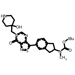 CN(C(=O)OC(C)(C)C)C1Cc2ccc(-c3snc4c(=O)n(CC5(O)CCNCC5)cnc34)cc2C1